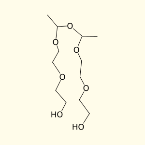 CC(OCCOCCO)OC(C)OCCOCCO